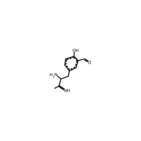 CC(=N)C(N)Cc1ccc(O)c(C=O)c1